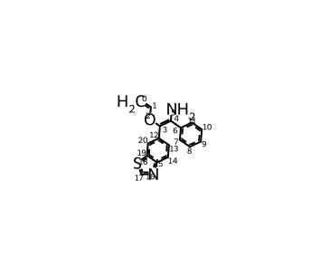 C=CO/C(=C(\N)c1ccccc1)c1ccc2ncsc2c1